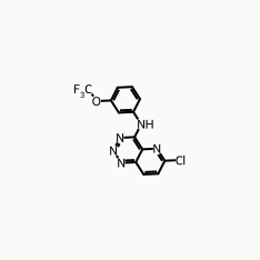 FC(F)(F)Oc1cccc(Nc2nnnc3ccc(Cl)nc23)c1